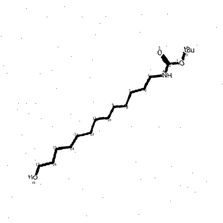 CC(C)(C)OC(=O)NCCCCCCCCCCCCCO